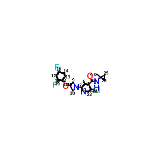 CC1(NC(=O)c2cc(N3CC(Oc4ccc(F)cc4F)C3)ncc2Cl)CC1